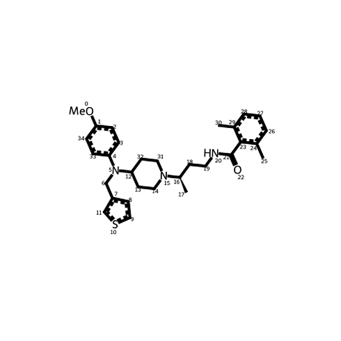 COc1ccc(N(Cc2ccsc2)C2CCN([C@H](C)CCNC(=O)c3c(C)cccc3C)CC2)cc1